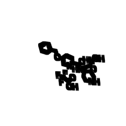 O=C(CC1(NC(=O)c2ccc(OCc3ccccc3)cn2)CCNCC1)NO.O=C(O)C(F)(F)F